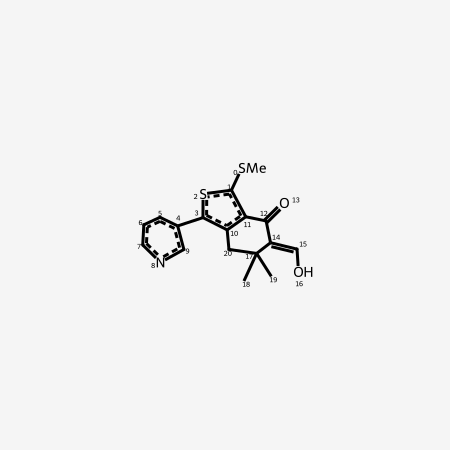 CSc1sc(-c2cccnc2)c2c1C(=O)C(=CO)C(C)(C)C2